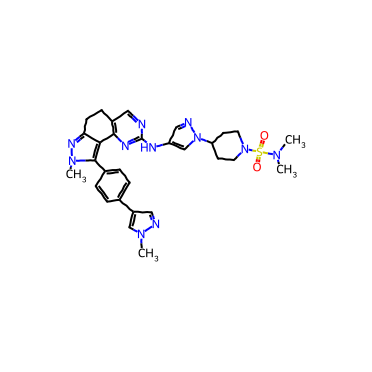 CN(C)S(=O)(=O)N1CCC(n2cc(Nc3ncc4c(n3)-c3c(nn(C)c3-c3ccc(-c5cnn(C)c5)cc3)CC4)cn2)CC1